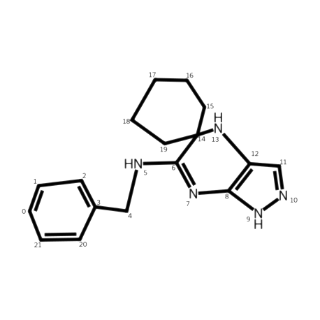 c1ccc(CNC2=Nc3[nH]ncc3NC23CCCCC3)cc1